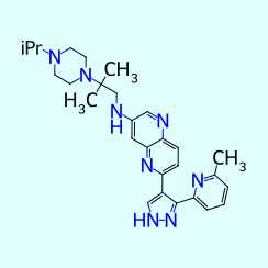 Cc1cccc(-c2n[nH]cc2-c2ccc3ncc(NCC(C)(C)N4CCN(C(C)C)CC4)cc3n2)n1